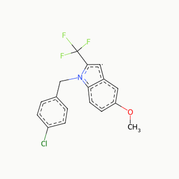 COc1ccc2c([c]c(C(F)(F)F)n2Cc2ccc(Cl)cc2)c1